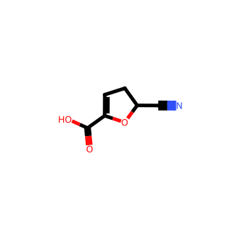 N#CC1CC=C(C(=O)O)O1